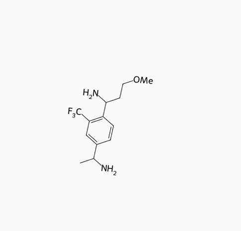 COCCC(N)c1ccc(C(C)N)cc1C(F)(F)F